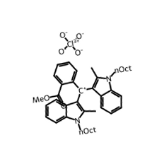 CCCCCCCCn1c(C)c([C+](c2ccccc2C(=O)OC)c2c(C)n(CCCCCCCC)c3ccccc23)c2ccccc21.[O-][Cl+3]([O-])([O-])[O-]